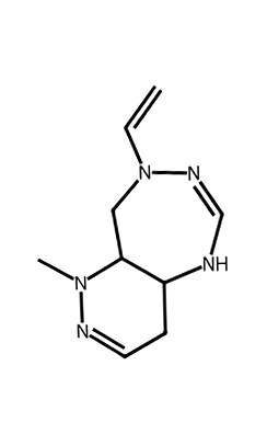 C=CN1CC2C(CC=NN2C)NC=N1